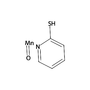 Sc1ccccn1.[O]=[Mn]